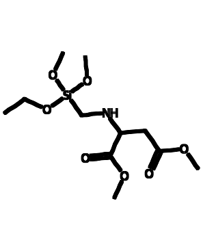 CCO[Si](CNC(CC(=O)OC)C(=O)OC)(OC)OC